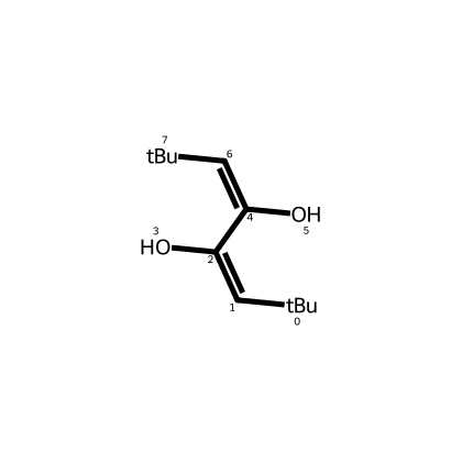 CC(C)(C)/C=C(O)\C(O)=C/C(C)(C)C